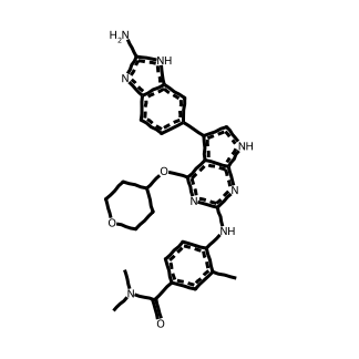 Cc1cc(C(=O)N(C)C)ccc1Nc1nc(OC2CCOCC2)c2c(-c3ccc4nc(N)[nH]c4c3)c[nH]c2n1